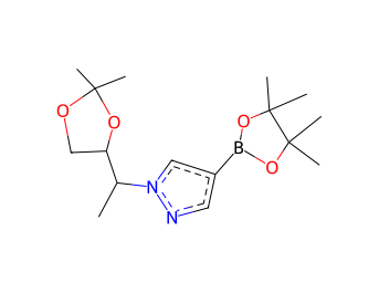 CC(C1COC(C)(C)O1)n1cc(B2OC(C)(C)C(C)(C)O2)cn1